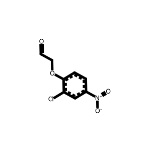 O=CCOc1ccc([N+](=O)[O-])cc1Cl